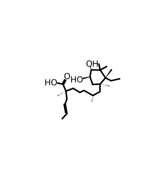 C/C=C/C[C@](C)(CCC[C@@H](C)C[C@@]1(C)C[C@@H](O)[C@H](O)C(C)(C)[C@]1(C)CC)C(=O)O